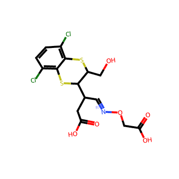 O=C(O)CO/N=C/C(CC(=O)O)C1Sc2c(Cl)ccc(Cl)c2SC1CO